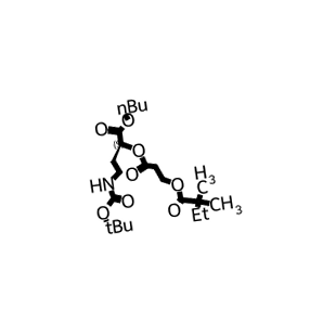 CCCCOC(=O)[C@H](CCNC(=O)OC(C)(C)C)OC(=O)CCOC(=O)C(C)(C)CC